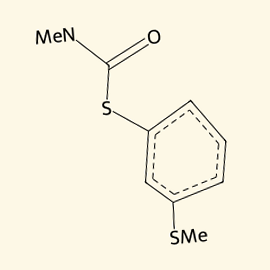 CNC(=O)Sc1cccc(SC)c1